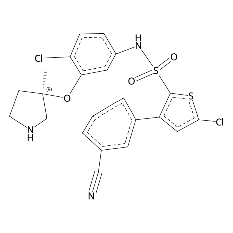 C[C@@]1(Oc2cc(NS(=O)(=O)c3sc(Cl)cc3-c3cccc(C#N)c3)ccc2Cl)CCNC1